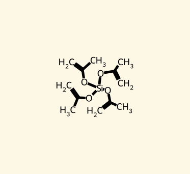 C=C(C)O[Si](OC(=C)C)(OC(=C)C)OC(=C)C